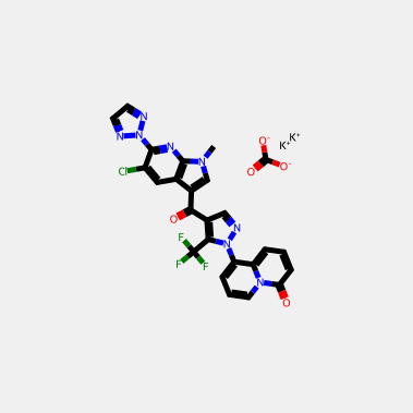 Cn1cc(C(=O)c2cnn(-c3cccn4c(=O)cccc34)c2C(F)(F)F)c2cc(Cl)c(-n3nccn3)nc21.O=C([O-])[O-].[K+].[K+]